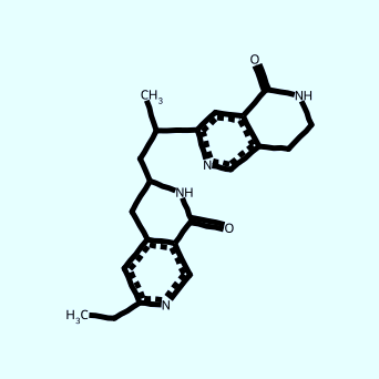 CCc1cc2c(cn1)C(=O)NC(CC(C)c1cc3c(cn1)CCNC3=O)C2